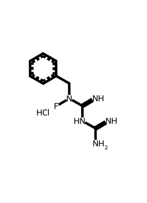 Cl.N=C(N)NC(=N)N(F)Cc1ccccc1